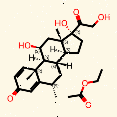 CCOC(C)=O.C[C@H]1C[C@@H]2[C@H]([C@@H](O)C[C@@]3(C)[C@H]2CC[C@]3(O)C(=O)CO)[C@@]2(C)C=CC(=O)C=C12